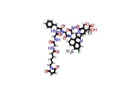 CC[C@@]1(O)C(=O)OCc2c1cc1n(c2=O)Cc2c-1nc1cc(F)c(C)c3c1c2[C@@H](N(CC(N)=O)C(=O)CNC(=O)[C@H](Cc1ccccc1)NC(=O)CNC(=O)CNC(=O)CCCCCN1C(=O)C=CC1=O)CC3